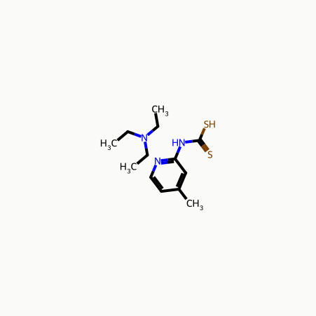 CCN(CC)CC.Cc1ccnc(NC(=S)S)c1